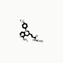 Nc1nccc2c1CC(C=CC(=O)NC=O)CN2c1ccc(C(F)(F)F)cc1